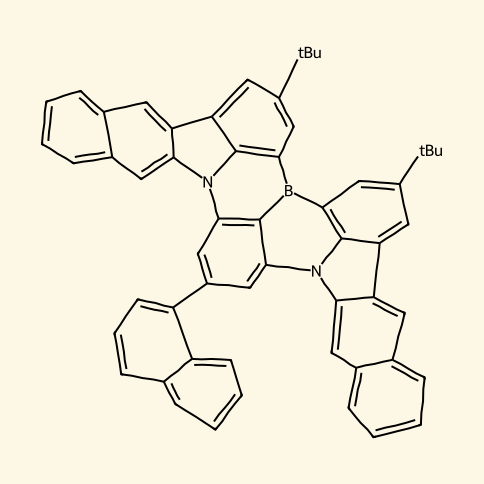 CC(C)(C)c1cc2c3c(c1)c1cc4ccccc4cc1n3-c1cc(-c3cccc4ccccc34)cc3c1B2c1cc(C(C)(C)C)cc2c4cc5ccccc5cc4n-3c12